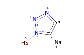 Sn1ccnn1.[Na]